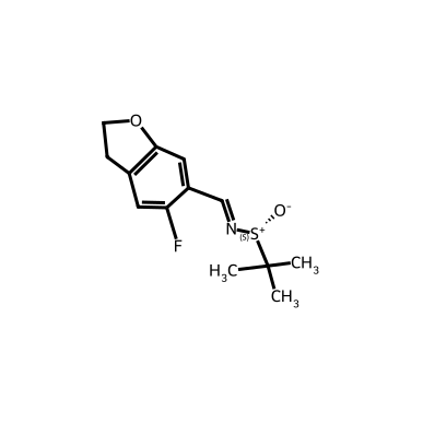 CC(C)(C)[S@@+]([O-])N=Cc1cc2c(cc1F)CCO2